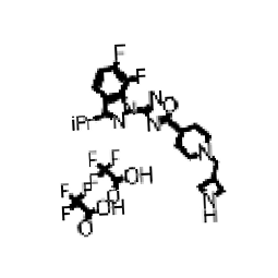 CC(C)c1nn(-c2noc(C3CCN(CC4CNC4)CC3)n2)c2c(F)c(F)ccc12.O=C(O)C(F)(F)F.O=C(O)C(F)(F)F